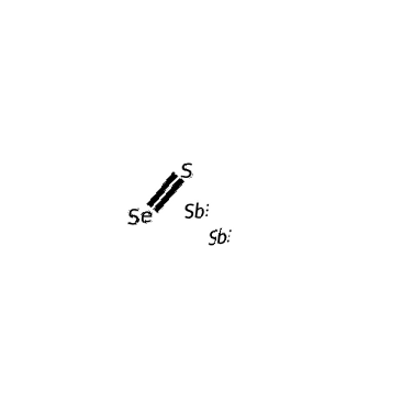 S=[Se].[Sb].[Sb]